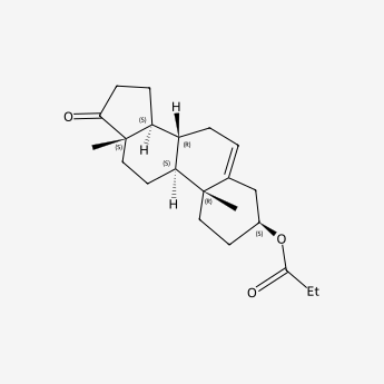 CCC(=O)O[C@H]1CC[C@@]2(C)C(=CC[C@@H]3[C@@H]2CC[C@]2(C)C(=O)CC[C@@H]32)C1